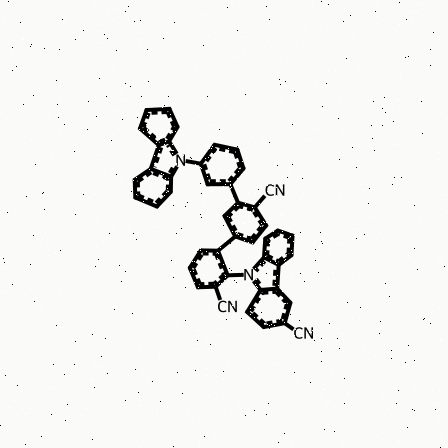 N#Cc1ccc2c(c1)c1ccccc1n2-c1c(C#N)cccc1-c1ccc(C#N)c(-c2cccc(-n3c4ccccc4c4ccccc43)c2)c1